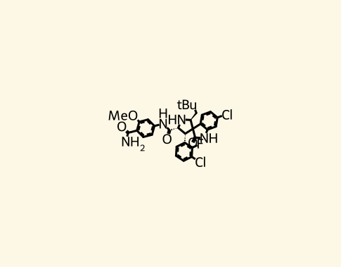 COc1cc(NC(=O)[C@@H]2N[C@@H](CC(C)(C)C)C3(C(=O)Nc4cc(Cl)ccc43)[C@@H]2c2cccc(Cl)c2F)ccc1C(N)=O